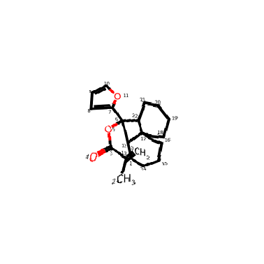 C=C(C)C(=O)OC1(c2ccco2)C2CCCCC23CCCCC31